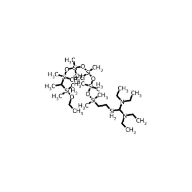 CCO[Si](C)(C)C(C)[Si](C)(C)O[Si](C)(C)O[Si](C)(C)O[Si](C)(C)O[Si](C)(C)CC[SiH2]C(N(CC)CC)N(CC)CC